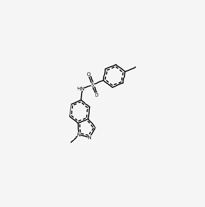 Cc1ccc(S(=O)(=O)Nc2ccc3c(cnn3C)c2)cc1